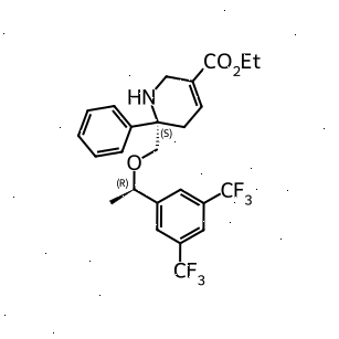 CCOC(=O)C1=CC[C@@](CO[C@H](C)c2cc(C(F)(F)F)cc(C(F)(F)F)c2)(c2ccccc2)NC1